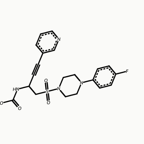 O=C(O)NC(C#Cc1cccnc1)CS(=O)(=O)N1CCN(c2ccc(F)cc2)CC1